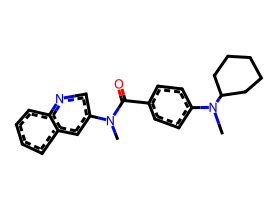 CN(C(=O)c1ccc(N(C)C2CCCCC2)cc1)c1cnc2ccccc2c1